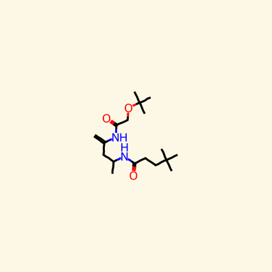 C=C(CC(C)NC(=O)CCC(C)(C)C)NC(=O)COC(C)(C)C